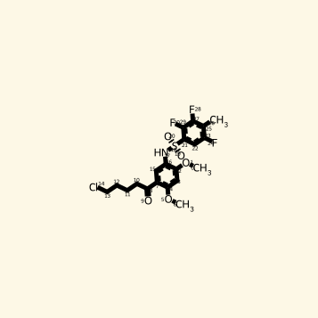 COc1cc(OC)c(C(=O)CCCCCl)cc1NS(=O)(=O)c1cc(F)c(C)c(F)c1F